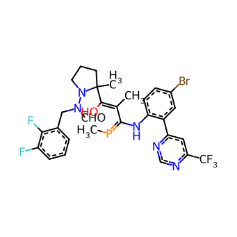 C/P=C(Nc1ccc(Br)cc1-c1cc(C(F)(F)F)ncn1)\C(C)=C(/O)C1(C)CCCN1N(C=O)Cc1cccc(F)c1F